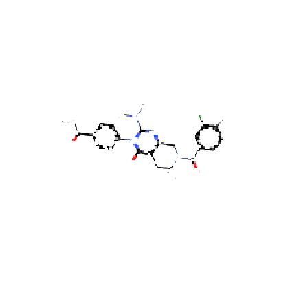 CCN(CC)c1nc2c(c(=O)n1-c1ccc(C(=O)NC)cc1)C[C@@H](C)N(C(=O)c1ccc(Cl)c(Cl)c1)C2